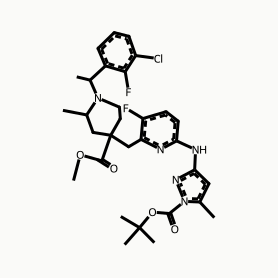 COC(=O)C1(Cc2nc(Nc3cc(C)n(C(=O)OC(C)(C)C)n3)ccc2F)CCN(C(C)c2cccc(Cl)c2F)C(C)C1